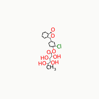 C[C@@H](O)[C@@H](O)[C@H](O)[C@@H](O)C(=O)Oc1ccc(C2OC(=O)c3ccccc32)cc1Cl